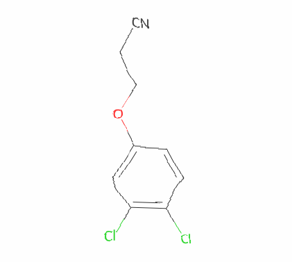 N#CCCOc1ccc(Cl)c(Cl)c1